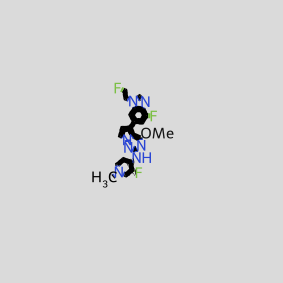 COc1nc(N[C@H]2CCN(C)C[C@H]2F)nn2ccc(-c3cc(F)c4ncn(CCF)c4c3)c12